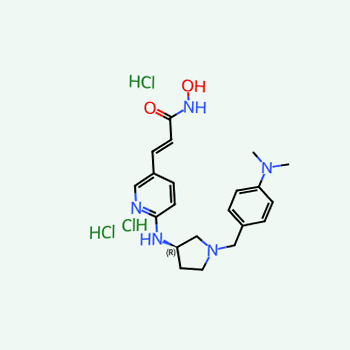 CN(C)c1ccc(CN2CC[C@@H](Nc3ccc(C=CC(=O)NO)cn3)C2)cc1.Cl.Cl.Cl